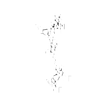 Cc1cnc(NC(=O)Nc2cc(Br)c(C)cc2OC[C@@H]2CN(C(=O)CCCCCCn3c(=O)cc(C(F)(F)F)c4cc5c(cc43)OCCN5CC(F)(F)F)CCO2)cn1